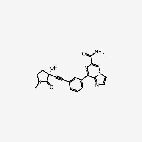 CN1CC[C@@](O)(C#Cc2cccc(-c3nc(C(N)=O)cn4ccnc34)c2)C1=O